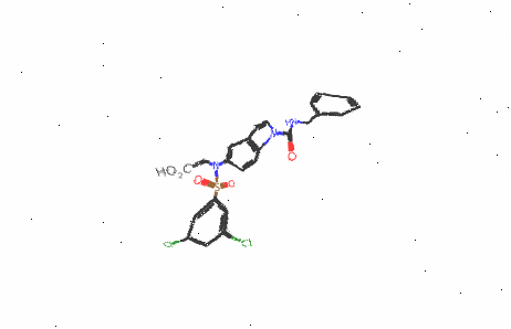 O=C(O)CN(c1ccc2c(ccn2C(=O)NCc2ccccc2)c1)S(=O)(=O)c1cc(Cl)cc(Cl)c1